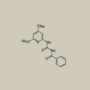 COc1cc(NC(=S)NC(=O)c2ccccc2)nc(OC)c1